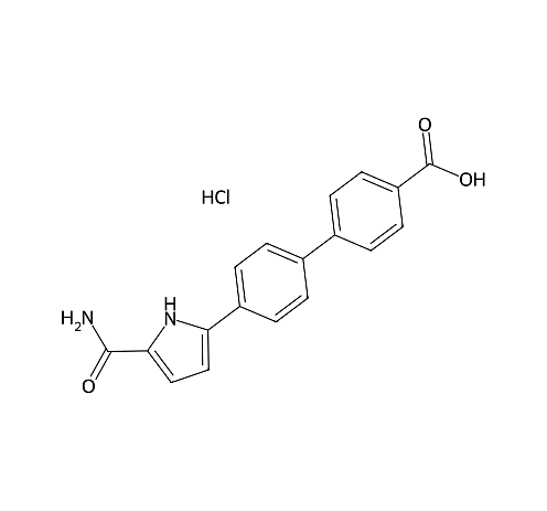 Cl.NC(=O)c1ccc(-c2ccc(-c3ccc(C(=O)O)cc3)cc2)[nH]1